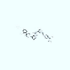 CSc1ccc(C2(CC#N)CCN(c3cccn4nc(Nc5cnn(CCN6CCN(C(=O)N(C)C)CC6)c5)nc34)CC2)cc1